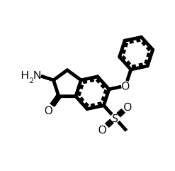 CS(=O)(=O)c1cc2c(cc1Oc1ccccc1)CC(N)C2=O